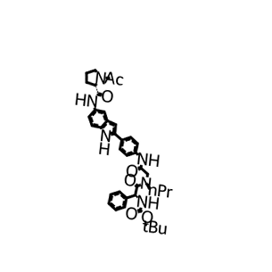 CCCN(CC(=O)Nc1ccc(-c2cc3cc(NC(=O)[C@@H]4CCCN4C(C)=O)ccc3[nH]2)cc1)C(=O)[C@@H](NC(=O)OC(C)(C)C)c1ccccc1